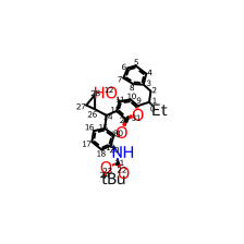 CCC(Cc1ccccc1)c1cc(O)c(C(c2cccc(NC(=O)OC(C)(C)C)c2)C2CC2)c(=O)o1